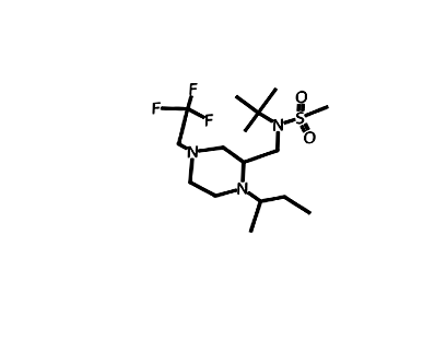 CCC(C)N1CCN(CC(F)(F)F)CC1CN(C(C)(C)C)S(C)(=O)=O